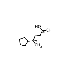 C[C@H](O)CC[C@@H](C)C1CCCC1